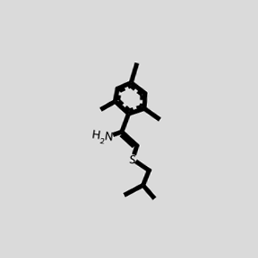 Cc1cc(C)c(/C(N)=C/SCC(C)C)c(C)c1